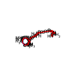 CO[C@H]1CC2CC[C@@H](C)[C@@](O)(O2)C(=O)C(=O)N2CCCC[C@H]2C(=O)O[C@H](CC[C@H]2CC[C@H](OC(=O)NCc3cnc(N4CCN(c5ncc(C(=O)NCCOCCOCCOCCOCCC(=O)N6CCc7cc(Cn8nc(-c9cnc%10[nH]ccc%10c9)c9c(N)ncnc98)ccc7C6)cn5)CC4)nc3)CC2)CC(=O)[C@H](C)/C=C(\C)[C@@H](O)[C@@H](OC)C(=O)[C@H](C)C[C@H](C)/C=C/C=C/C=C/1C